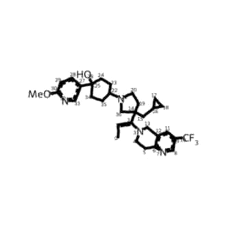 C/C=C(\N1CCc2ncc(C(F)(F)F)cc2C1)C1(CC2CC2)CCN(C2CCC(O)(c3ccc(OC)nc3)CC2)C1